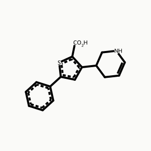 O=C(O)c1sc(-c2ccccc2)cc1C1CC=CNC1